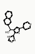 OC(c1ccc2ccccc2c1)c1cc(-c2ccncc2)sc1-c1nnc[nH]1